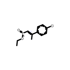 CCO[PH](=O)/C=C(\C)c1ccc(Cl)cc1